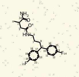 CC([CH]C(=O)NCCCC(c1ccc(F)cc1)c1ccc(F)cc1)C(N)=O